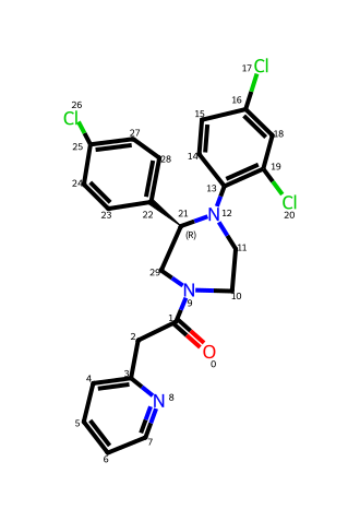 O=C(Cc1ccccn1)N1CCN(c2ccc(Cl)cc2Cl)[C@H](c2ccc(Cl)cc2)C1